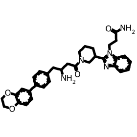 NC(=O)CCn1c(C2CCCN(C(=O)CC(N)Cc3ccc(-c4ccc5c(c4)OCCO5)cc3)C2)nc2ccccc21